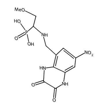 COCC(NCc1cc([N+](=O)[O-])cc2[nH]c(=O)c(=O)[nH]c12)P(=O)(O)O